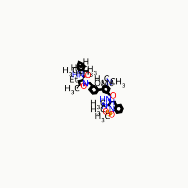 CC[C@H]1[C@H](C)ON(Cc2cccc(-c3cc(C(=O)N[C@@H](Cc4ccccc4NS(C)(=O)=O)CN(C)C)cc(N(C)C)c3)c2OC)[C@@H]1C(=O)N[C@H]1C[C@H]2C[C@@H]([C@@H]1C)C2(C)C